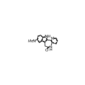 CNc1ccc2[nH]c3c(c2c1)CC(=O)Nc1cccnc1-3